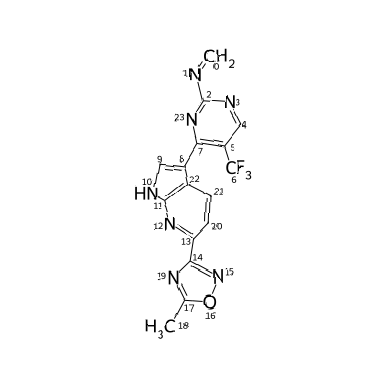 C=Nc1ncc(C(F)(F)F)c(-c2c[nH]c3nc(-c4noc(C)n4)ccc23)n1